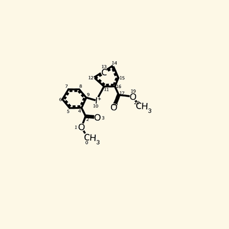 COC(=O)c1ccccc1[I+]c1ccccc1C(=O)OC